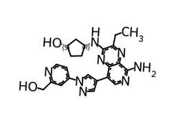 CCc1nc2c(N)ncc(-c3cnn(-c4ccnc(CO)c4)c3)c2nc1N[C@@H]1CC[C@H](O)C1